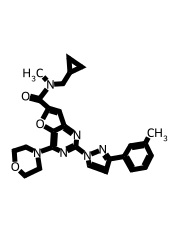 Cc1cccc(-c2ccn(-c3nc(N4CCOCC4)c4oc(C(=O)N(C)CC5CC5)cc4n3)n2)c1